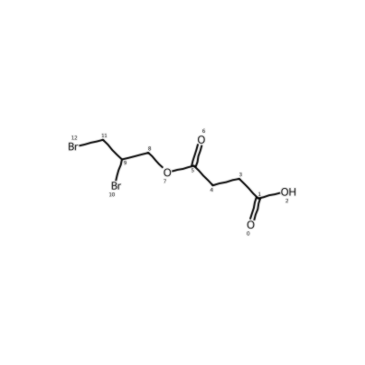 O=C(O)CCC(=O)OCC(Br)CBr